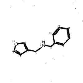 c1ccc(CNCc2ccoc2)cc1